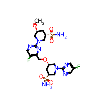 CO[C@H]1C[C@H](S(N)(=O)=O)CN(c2ncc(F)c(CO[C@H]3C[C@H](S(N)(=O)=O)CN(c4ncc(F)cn4)C3)n2)C1